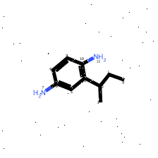 CCC(C)c1cc(N)ccc1N